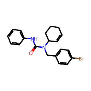 O=C(Nc1ccccc1)N(Cc1ccc(Br)cc1)C1C=CCCC1